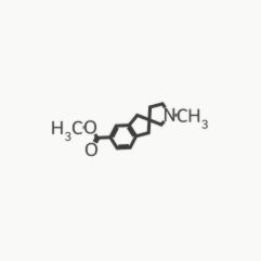 COC(=O)c1ccc2c(c1)CC1(CCN(C)C1)C2